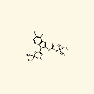 CC(C)(C)OC(=O)Oc1cc2c(I)c(F)ccc2n1C(=O)OC(C)(C)C